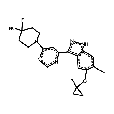 CC1(Oc2cc3c(-c4cc(N5CCC(F)(C#N)CC5)ncn4)n[nH]c3cc2F)CC1